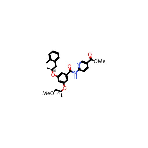 COC[C@H](C)Oc1cc(O[C@@H](C)Cc2ccccc2C)cc(C(=O)Nc2ccc(C(=O)OC)cn2)c1